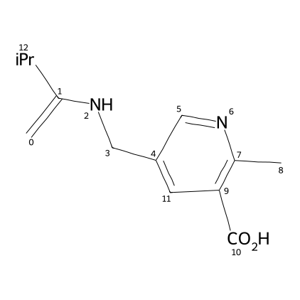 C=C(NCc1cnc(C)c(C(=O)O)c1)C(C)C